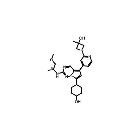 COC[C@H](C)Nc1ncc2c(-c3ccnc(N4CC(C)(O)C4)c3)cc(C3CCC(O)CC3)n2n1